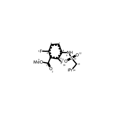 COC(=O)c1c(F)ccc(NS(=O)(=O)CC(C)C)c1F